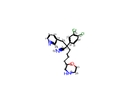 N#CC(CCCCC1CNCCO1)(Cc1cccnc1)c1ccc(Cl)c(Cl)c1